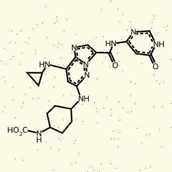 O=C(O)NC1CCC(Nc2cc(NC3CC3)c3ncc(C(=O)Nc4cc(=O)[nH]cn4)n3n2)CC1